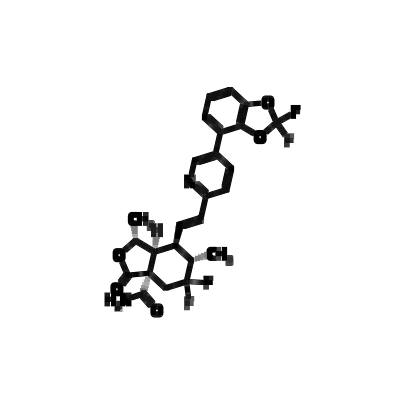 C[C@H]1OC(=O)[C@]2(C(N)=O)CC(F)(F)[C@@H](C)[C@H](/C=C/c3ccc(-c4cccc5c4OC(F)(F)O5)cn3)[C@H]12